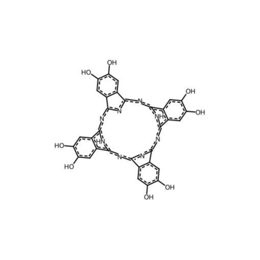 Oc1cc2c(cc1O)-c1nc-2nc2[nH]c(nc3nc(nc4[nH]c(n1)c1cc(O)c(O)cc41)-c1cc(O)c(O)cc1-3)c1cc(O)c(O)cc21